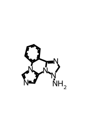 NN1CN=C2c3ccccc3-n3cncc3N21